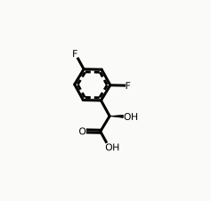 O=C(O)[C@H](O)c1ccc(F)cc1F